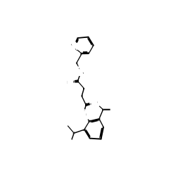 CC(C)c1cccc(C(C)C)c1OC(=O)CCC(=O)NCc1ccccn1